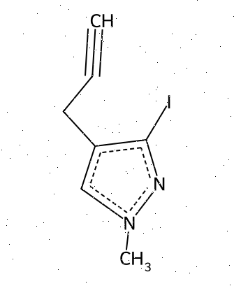 C#CCc1cn(C)nc1I